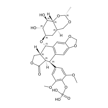 COc1cc([C@@H]2c3cc4c(cc3[C@@H](O[C@@H]3C[C@@H]5CO[C@@H](C)O[C@H]5[C@H](O)[C@H]3O)[C@H]3COC(=O)[C@H]23)OCO4)cc(OC)c1OP(=O)(O)O